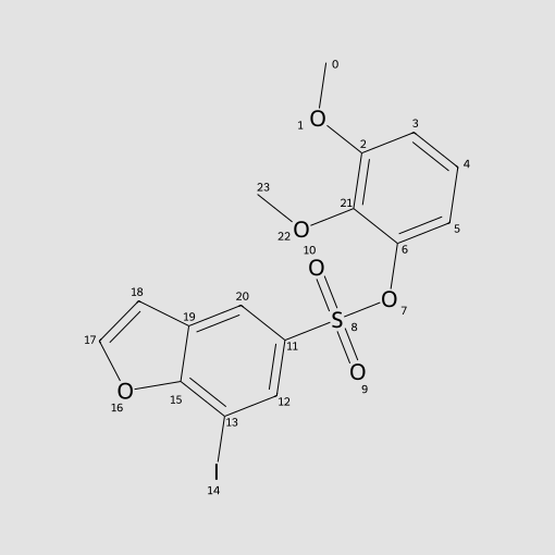 COc1cccc(OS(=O)(=O)c2cc(I)c3occc3c2)c1OC